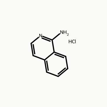 Cl.Nc1nccc2ccccc12